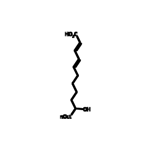 CCCCCCCCC(O)CCCC/C=C/C=C/C(=O)O